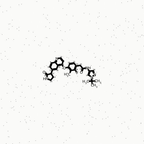 Cc1c(Oc2ccnc3ccc(C4CCNC4=O)cc23)ccc(CC(=O)Nc2cnn(C(C)(C)C)c2)c1F